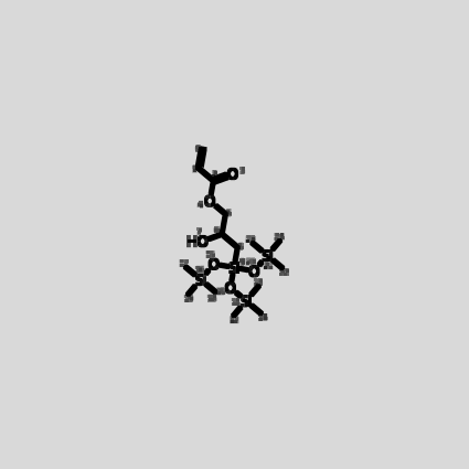 C=CC(=O)OCC(O)C[Si](O[Si](C)(C)C)(O[Si](C)(C)C)O[Si](C)(C)C